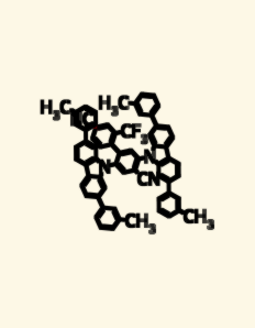 Cc1cccc(-c2ccc3c4ccc(-c5cccc(C)c5)cc4n(-c4cc(-c5ccc(C#N)cc5C(F)(F)F)c(-n5c6cc(-c7cccc(C)c7)ccc6c6ccc(-c7cccc(C)c7)cc65)cc4C#N)c3c2)c1